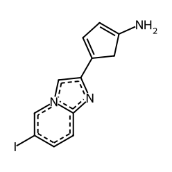 NC1=CC=C(c2cn3cc(I)ccc3n2)C1